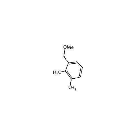 COSc1cccc(C)c1C